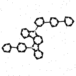 c1ccc(-c2ccc(-c3cccc(-n4c5ccccc5c5c4ccc4c6ccccc6n(-c6ccc(-c7ccccc7)cc6)c45)c3)cc2)cc1